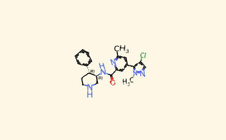 Cc1cc(-c2c(Cl)cnn2C)cc(C(=O)N[C@H]2CNCC[C@@H]2c2ccccc2)n1